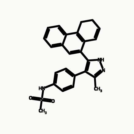 Cc1n[nH]c(-c2cc3ccccc3c3c2C=CCC3)c1-c1ccc(NS(C)(=O)=O)cc1